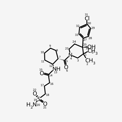 CC1(C)CN(C(=O)[C@H]2CCCC[C@H]2NC(=O)CCCS(N)(=O)=O)CC[C@]1(O)c1ccc(Cl)cc1